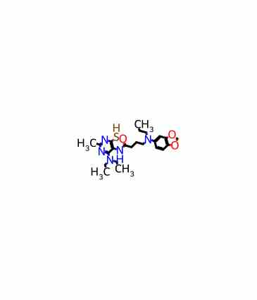 CCCN(CCCC(=O)Nc1c(S)nc(C)nc1N(CC)CC)c1ccc2c(c1)OCO2